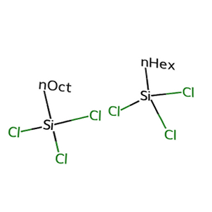 CCCCCCCC[Si](Cl)(Cl)Cl.CCCCCC[Si](Cl)(Cl)Cl